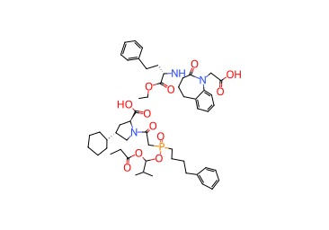 CCC(=O)OC(OP(=O)(CCCCc1ccccc1)CC(=O)N1C[C@H](C2CCCCC2)C[C@H]1C(=O)O)C(C)C.CCOC(=O)[C@H](CCc1ccccc1)N[C@H]1CCc2ccccc2N(CC(=O)O)C1=O